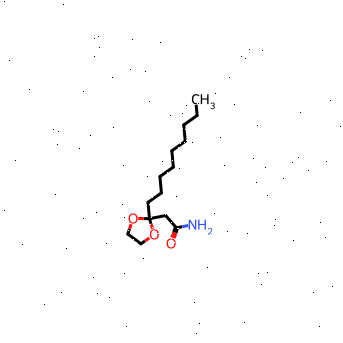 CCCCCCCCCC1(CC(N)=O)OCCO1